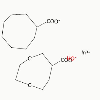 O=C([O-])C1CCCCCCC1.O=C([O-])C1CCCCCCC1.[In+3].[OH-]